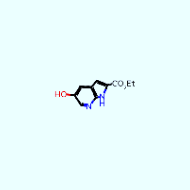 CCOC(=O)c1cc2cc(O)cnc2[nH]1